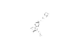 O=C(NCC1CC1)C1(c2ccc(OCCCN3CCCC3)cc2)CCOCC1